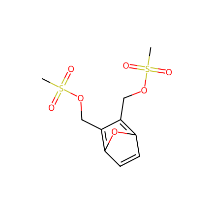 CS(=O)(=O)OCc1c(COS(C)(=O)=O)c2ccc1o2